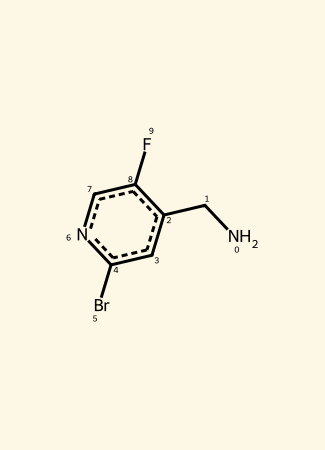 NCc1cc(Br)ncc1F